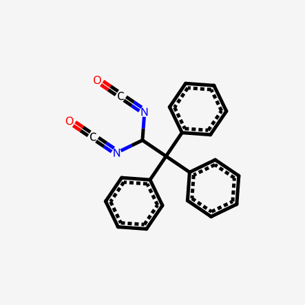 O=C=NC(N=C=O)C(c1ccccc1)(c1ccccc1)c1ccccc1